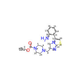 CC(C)(C)OC(=O)N1CCN(CC2CN3C(c4ccccc4N)=CSC3=N2)CC1